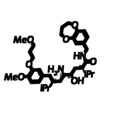 COCCCOc1cc(C[C@@H](C[C@H](N)[C@@H](O)C[C@H](C(=O)NCc2ccc3c(c2)OCCCO3)C(C)C)C(C)C)ccc1OC